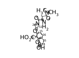 CN(C)C(=O)C[C@@H](N)C(=O)N1CC(Oc2ccc3c(c2C(=O)O)OB(O)CC3)C1